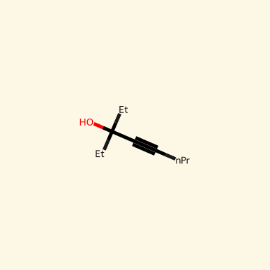 [CH2]CCC#CC(O)(CC)CC